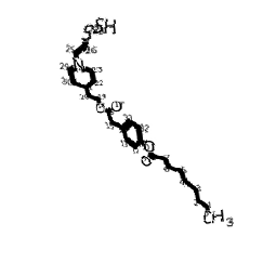 CCCCCCCCC(=O)Oc1ccc(CC(=O)OCCC2CCN(CCSS)CC2)cc1